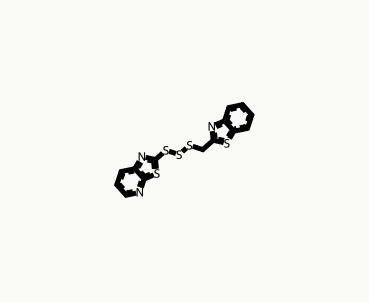 c1ccc2sc(CSSSc3nc4cccnc4s3)nc2c1